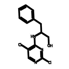 OCC(Cc1ccccc1)Nc1nc(Cl)ncc1Cl